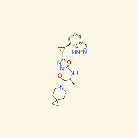 C[C@H](Nc1nnc([C@@H]2C[C@H]2c2cccc3cn[nH]c23)o1)C(=O)N1CCC2(CC1)CC2